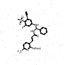 C#Cc1cc(NC(NC(=O)C=Cc2ccc(C(F)(F)F)nc2CCCCC)c2ccccc2)cc(F)c1S(C)(=O)=O